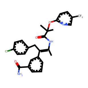 CC(NC(=O)C(C)(C)Oc1ccc(C(F)(F)F)cn1)=C(Cc1ccc(Cl)cc1)c1cccc(C(N)=O)c1